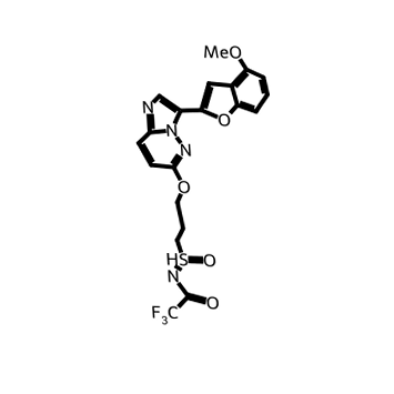 COc1cccc2oc(-c3cnc4ccc(OCCC/[SH](=O)=N/C(=O)C(F)(F)F)nn34)cc12